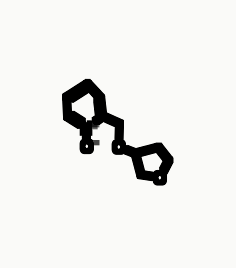 [O-][n+]1ccccc1COC1CCOC1